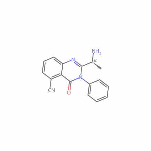 C[C@H](N)c1nc2cccc(C#N)c2c(=O)n1-c1ccccc1